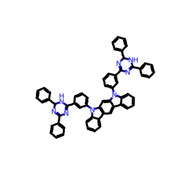 c1ccc(C2=NC(c3ccccc3)NC(c3cccc(-n4c5ccccc5c5cc6c7ccccc7n(-c7cccc(C8=NC(c9ccccc9)NC(c9ccccc9)=N8)c7)c6cc54)c3)=N2)cc1